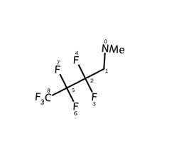 CNCC(F)(F)C(F)(F)C(F)(F)F